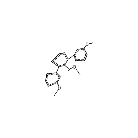 COc1cccc(-c2cccc(-c3cccc(OC)c3)c2[S][Bi]([CH3])[CH3])c1